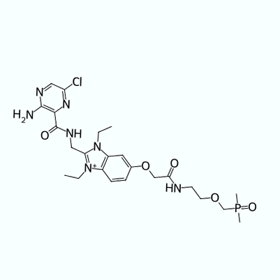 CCn1c(CNC(=O)c2nc(Cl)cnc2N)[n+](CC)c2ccc(OCC(=O)NCCOCP(C)(C)=O)cc21